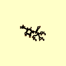 CC(C)(C)C(=O)[n+]1cc([NH-])on1